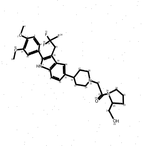 COc1ccc(-c2[nH]c3ccc(C4CCN(CC(=O)N5CCCC5CO)CC4)cc3c2CC(F)(F)F)cc1OC